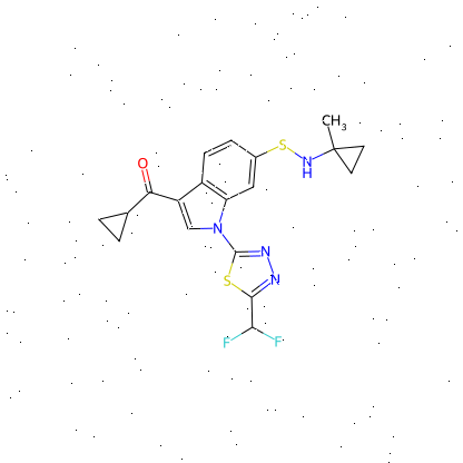 CC1(NSc2ccc3c(C(=O)C4CC4)cn(-c4nnc(C(F)F)s4)c3c2)CC1